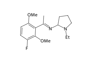 CCN1CCCC1/N=C(\C)c1c(OC)ccc(F)c1OC